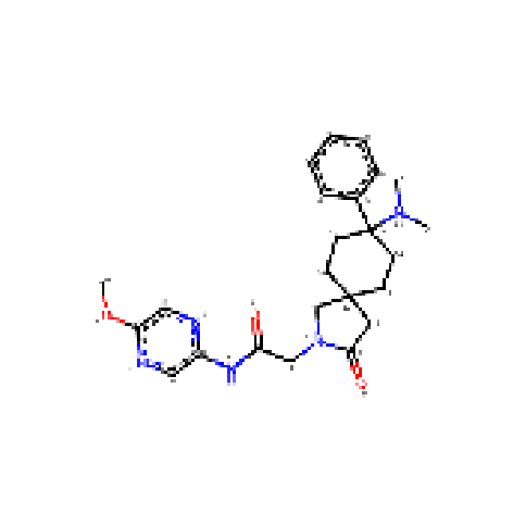 COc1cnc(NC(=O)CN2CC3(CCC(c4ccccc4)(N(C)C)CC3)CC2=O)cn1